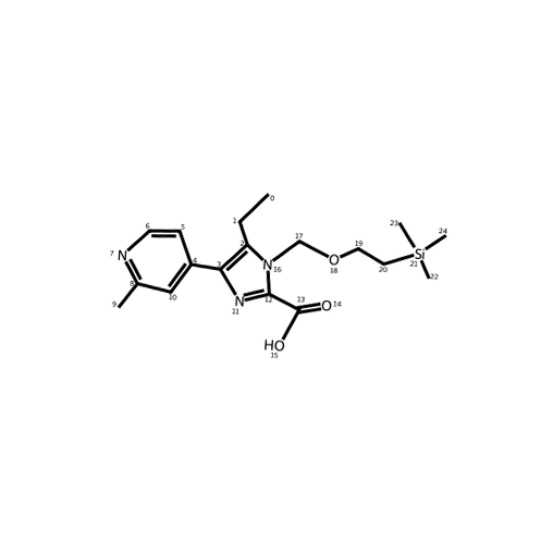 CCc1c(-c2ccnc(C)c2)nc(C(=O)O)n1COCC[Si](C)(C)C